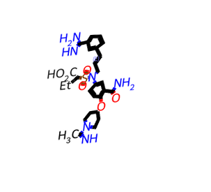 CCC(C(=O)O)S(=O)(=O)N(C/C=C/c1cccc(C(=N)N)c1)c1ccc(OC2CCN(C(C)=N)CC2)c(C(N)=O)c1